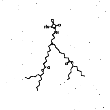 CCCCCC(CCCCC)COC(=O)CCCCCCCN(CCCCCCCC(=O)OC(CCCCC)CCCCC)CCCNc1c(NC)c(=O)c1=O